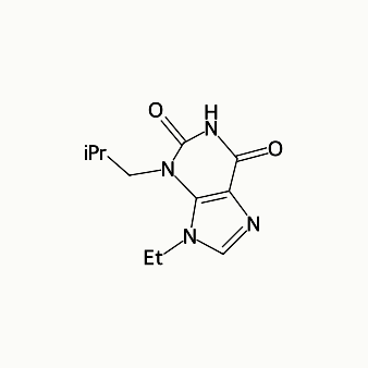 CCn1cnc2c(=O)[nH]c(=O)n(CC(C)C)c21